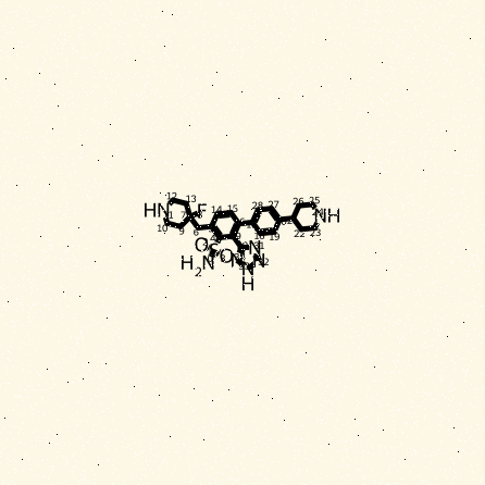 NS(=O)(=O)c1c(CC2(F)CCNCC2)ccc(-c2ccc(C3CCNCC3)cc2)c1-c1nn[nH]n1